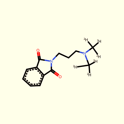 [2H]C([2H])([2H])N(CCCN1C(=O)c2ccccc2C1=O)C([2H])([2H])[2H]